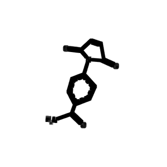 NC(=O)c1ccc(N2C(=O)C=CC2=O)cc1